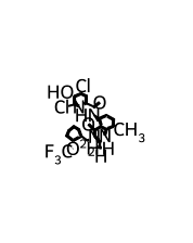 [2H]C([2H])([2H])c1nc2c(C)ccc(NC(=O)c3cc(Cl)c(O)c(Cl)n3)c2c(=O)n1Cc1ccccc1OC(F)(F)F